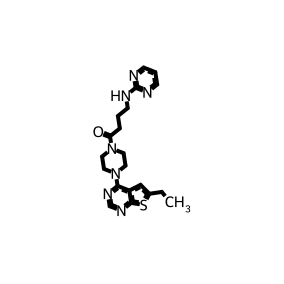 CCc1cc2c(N3CCN(C(=O)CCCNc4ncccn4)CC3)ncnc2s1